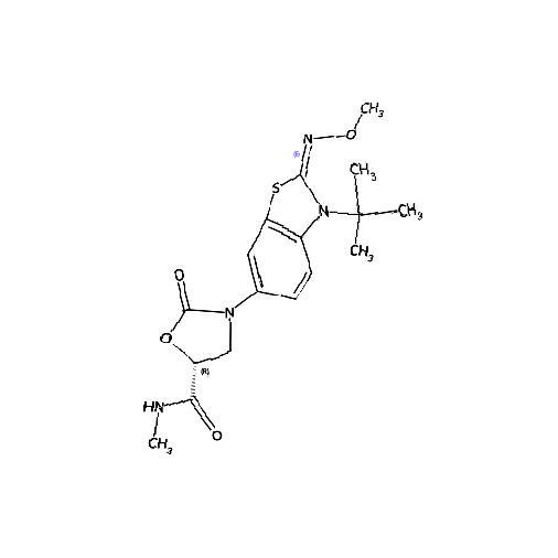 CNC(=O)[C@H]1CN(c2ccc3c(c2)s/c(=N/OC)n3C(C)(C)C)C(=O)O1